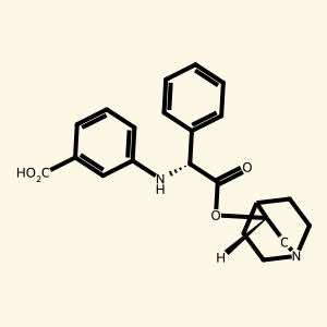 O=C(O)c1cccc(N[C@@H](C(=O)O[C@H]2CN3CCC2CC3)c2ccccc2)c1